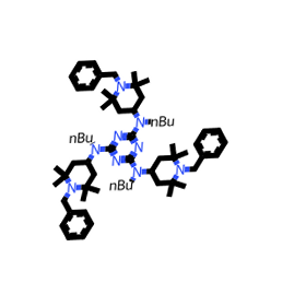 CCCCN(c1nc(N(CCCC)C2CC(C)(C)N(Cc3ccccc3)C(C)(C)C2)nc(N(CCCC)C2CC(C)(C)N(Cc3ccccc3)C(C)(C)C2)n1)C1CC(C)(C)N(Cc2ccccc2)C(C)(C)C1